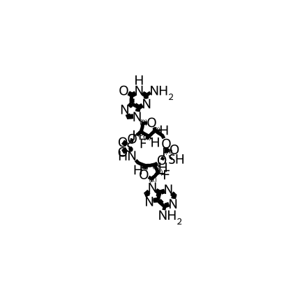 Nc1nc2c(ncn2[C@@H]2O[C@@H]3CO[P@@](=O)(S)O[C@H]4[C@@H](F)[C@H](n5cnc6c(N)ncnc65)O[C@@H]4CNS(=O)(=O)O[C@@H]2[C@@H]3F)c(=O)[nH]1